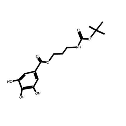 CC(C)(C)OC(=O)NCCCOC(=O)c1cc(O)c(O)c(O)c1